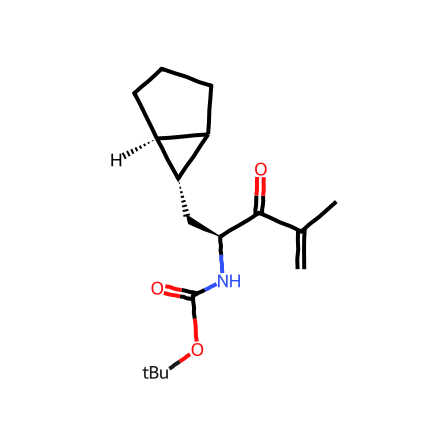 C=C(C)C(=O)[C@H](C[C@H]1C2CCC[C@@H]21)NC(=O)OC(C)(C)C